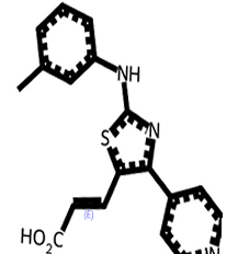 Cc1cccc(Nc2nc(-c3ccncc3)c(/C=C/C(=O)O)s2)c1